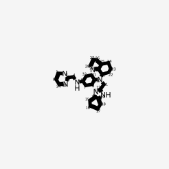 c1cnc(CNC2CCC(N(Cc3nc4ccccc4[nH]3)C3CCCc4cccnc43)CC2)nc1